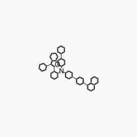 c1ccc(-c2ccc(N(c3ccc(-c4ccc(-c5cccc6ccccc56)cc4)cc3)c3ccccc3-c3oc4ccccc4c3-c3ccccc3)cc2)cc1